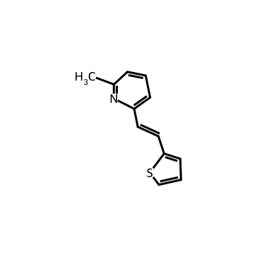 Cc1cccc(/C=C/c2cccs2)n1